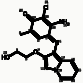 CC1=C/C(=N\c2c(OCCO)nn3ccccc23)C(N)=C(Cl)C1=O